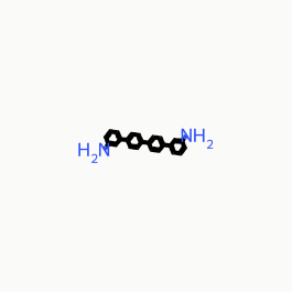 Nc1cccc(-c2ccc(-c3ccc(-c4cccc(N)c4)cc3)cc2)c1